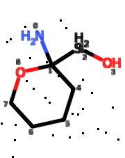 NC1([SiH2]O)CCCCO1